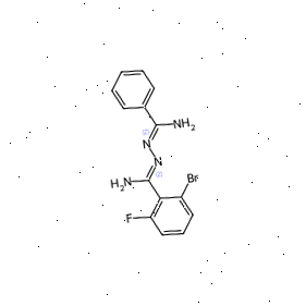 N/C(=N\N=C(/N)c1c(F)cccc1Br)c1ccccc1